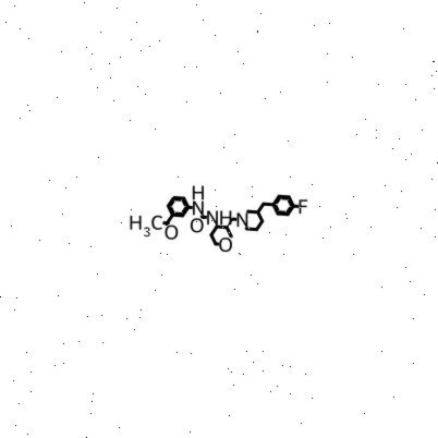 CC(=O)c1cccc(NC(=O)N[C@@H]2CCOC[C@@H]2CN2CCCC(Cc3ccc(F)cc3)C2)c1